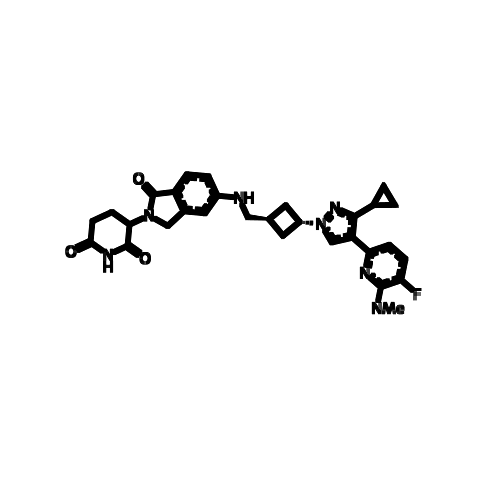 CNc1nc(-c2cn([C@H]3C[C@H](CNc4ccc5c(c4)CN(C4CCC(=O)NC4=O)C5=O)C3)nc2C2CC2)ccc1F